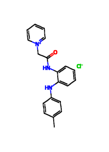 Cc1ccc(Nc2ccccc2NC(=O)C[n+]2ccccc2)cc1.[Cl-]